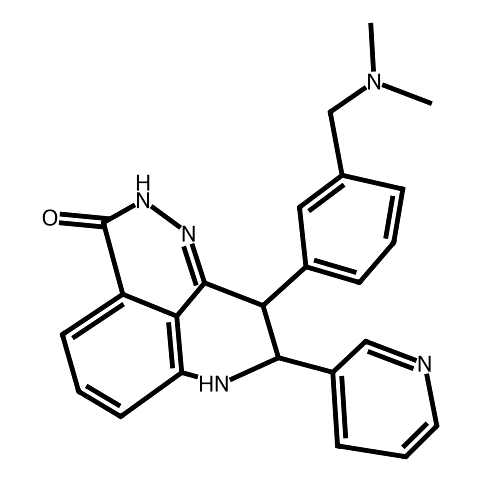 CN(C)Cc1cccc(C2c3n[nH]c(=O)c4cccc(c34)NC2c2cccnc2)c1